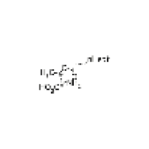 CCCCCCCCCC(=O)O[C@H](C)[C@H](N)C(=O)O